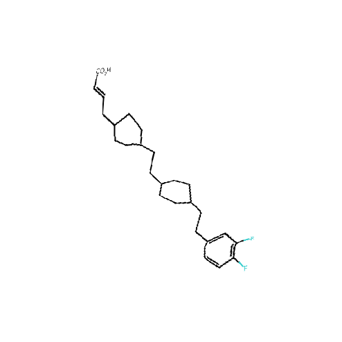 O=C(O)C=CCC1CCC(CCC2CCC(CCc3ccc(F)c(F)c3)CC2)CC1